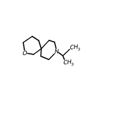 CC(C)N1CCC2(CCCOC2)CC1